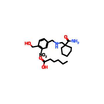 CCCCCC(=O)O.NC(=O)C1(CNCc2ccc(CO)c([N+](=O)[O-])c2)CCCCC1